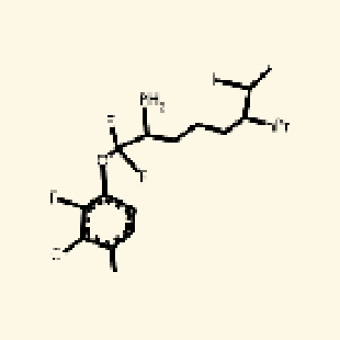 CCCC(CCCC(P)C(F)(F)Oc1ccc(C)c(Cl)c1F)C(C)I